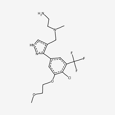 COCCOc1cc(-c2n[nH]cc2CN(C)CCN)cc(C(F)(F)F)c1Cl